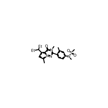 CCC(CC)c1cc(C)n2nc(-c3ccc(N(C)S(C)(=O)=O)cc3C)n(C)c(=O)c12